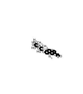 CC1OC(O[C@H]2CCC3(C)C4CCC5(C)C(C6=CC(=O)OC6)CCC5(O)[C@@H]4CC[C@H]3C2)[C@@H](O)C(OC2OC(C)C(N)[C@H](O)C2O)C1N